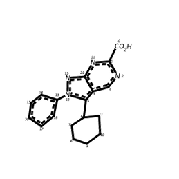 O=C(O)c1ncc2c(C3CCCCC3)n(-c3ccccc3)nc2n1